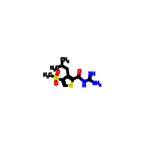 CC(C)Cc1c(S(C)(=O)=O)csc1C(=O)NC(=N)N